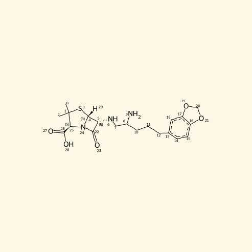 CC1(C)S[C@@H]2[C@H](NCC(N)CCCc3ccc4c(c3)OCO4)C(=O)N2[C@H]1C(=O)O